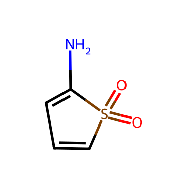 NC1=CC=CS1(=O)=O